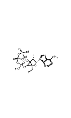 Nc1ncnc2c1ncn2[C@@H]1O[C@]2(CF)C(OP(=O)(O)OP(=O)(O)OP(=O)(O)O)[C@]2(O)[C@H]1F